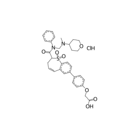 CN(CN(C(=O)C1CC=Cc2cc(-c3ccc(OCC(=O)O)cc3)ccc2S1(=O)=O)c1ccccc1)C1CCOCC1.Cl